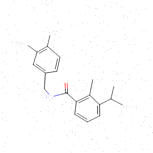 CCCCCC(C)c1cccc(C(=O)N[C@H](C)c2ccc(OC)c(OC)c2)c1C